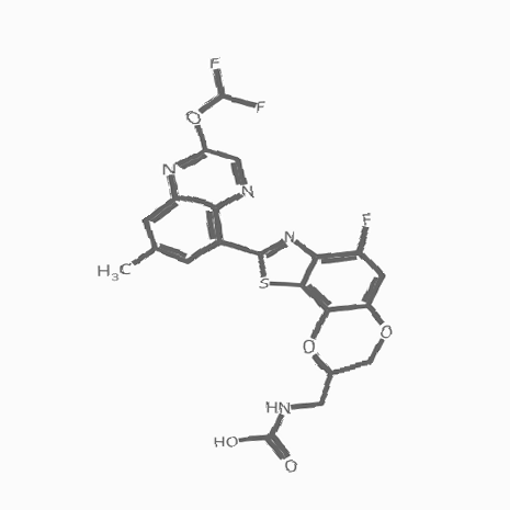 Cc1cc(-c2nc3c(F)cc4c(c3s2)OC(CNC(=O)O)CO4)c2ncc(OC(F)F)nc2c1